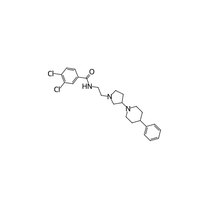 O=C(NCCN1CCC(N2CCC(c3ccccc3)CC2)C1)c1ccc(Cl)c(Cl)c1